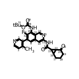 Cc1ccncc1-c1cc2cc(NC(=O)C3C4CCCC(=O)C43)ncc2c(NC(=O)OC(C)(C)C)c1F